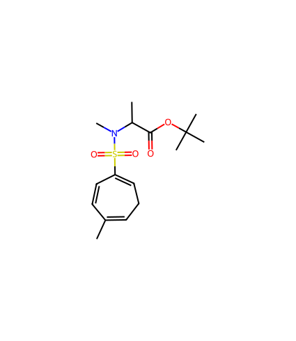 CC1=CCC=C(S(=O)(=O)N(C)C(C)C(=O)OC(C)(C)C)C=C1